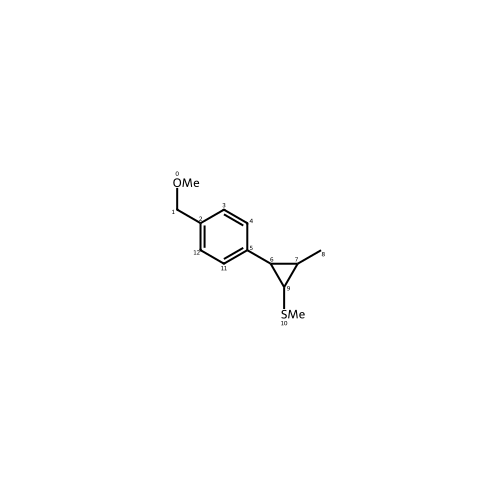 COCc1ccc(C2C(C)C2SC)cc1